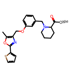 COC(=O)C1CCCCN1Cc1cccc(OCc2nc(-c3cccs3)oc2C)c1